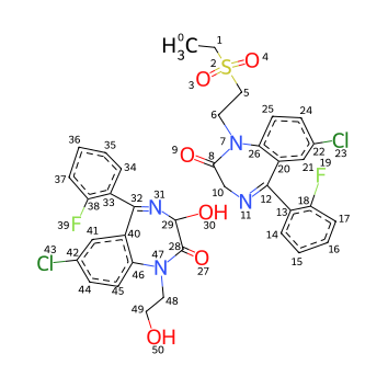 CCS(=O)(=O)CCN1C(=O)CN=C(c2ccccc2F)c2cc(Cl)ccc21.O=C1C(O)N=C(c2ccccc2F)c2cc(Cl)ccc2N1CCO